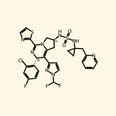 O=S(=O)(N[C@H]1CC2=C(c3ccn(C(F)F)n3)[C@H](c3ccc(F)cc3Cl)N=C(c3nccs3)N2C1)NC1(Cc2ccccn2)CC1